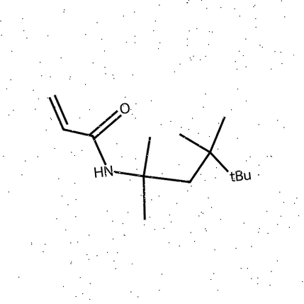 C=CC(=O)NC(C)(C)CC(C)(C)C(C)(C)C